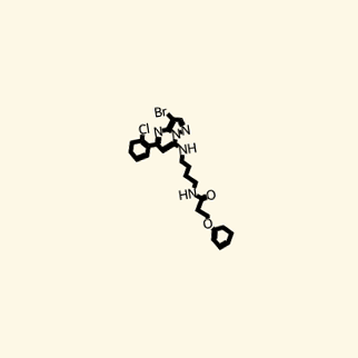 O=C(CCOC1=CC=CCC1)NCCCCNc1cc(C2=C(Cl)CCC=C2)nc2c(Br)cnn12